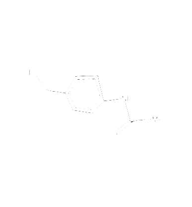 CCOc1ccc(NC(=O)OC)cc1